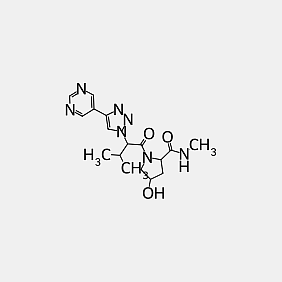 CNC(=O)C1CC(O)CN1C(=O)C(C(C)C)n1cc(-c2cncnc2)nn1